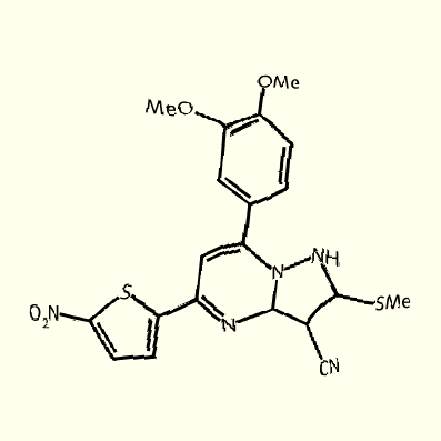 COc1ccc(C2=CC(c3ccc([N+](=O)[O-])s3)=NC3C(C#N)C(SC)NN23)cc1OC